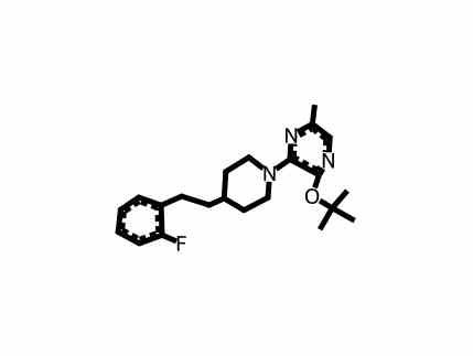 Cc1cnc(OC(C)(C)C)c(N2CCC(CCc3ccccc3F)CC2)n1